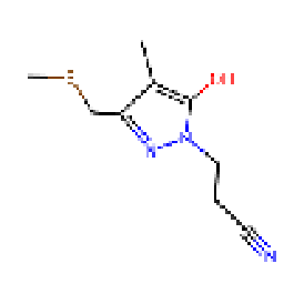 CSCc1nn(CCC#N)c(O)c1C